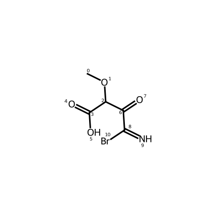 COC(C(=O)O)C(=O)C(=N)Br